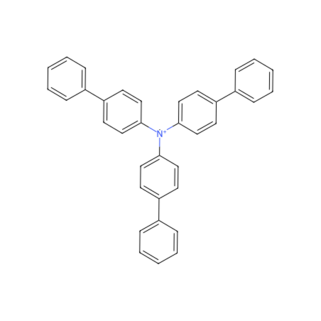 c1ccc(-c2ccc([N+](c3ccc(-c4ccccc4)cc3)c3ccc(-c4ccccc4)cc3)cc2)cc1